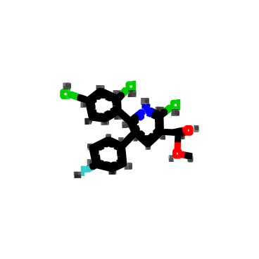 COC(=O)c1cc(-c2ccc(F)cc2)c(-c2ccc(Cl)cc2Cl)nc1Cl